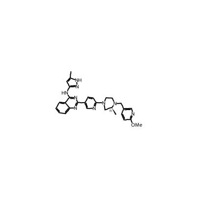 COc1ccc(CN2CCN(c3ccc(-c4nc(Nc5cc(C)[nH]n5)c5ccccc5n4)cn3)C[C@@H]2C)cn1